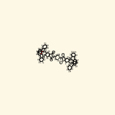 O=C1c2cc(-n3c4ccccc4c4ccccc43)c(-n3c4ccccc4c4ccccc43)cc2C(=O)N1C1CCC(N2C(=O)c3cc(-n4c5ccccc5c5ccccc54)c(-n4c5ccccc5c5ccccc54)cc3C2=O)CC1